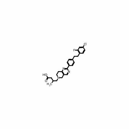 CC(CC(=O)O)CN1CCc2nc(-c3ccc(CCc4ccc(Cl)cc4F)cc3)ncc2C1